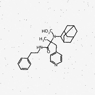 CC(Cc1ccncc1)(C(=O)NCCc1ccccc1)N(C(=O)O)C1C2CC3CC(C2)CC1C3